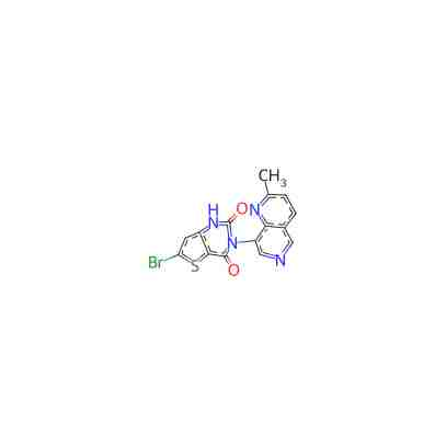 Cc1ccc2cncc(-n3c(=O)[nH]c4cc(Br)sc4c3=O)c2n1